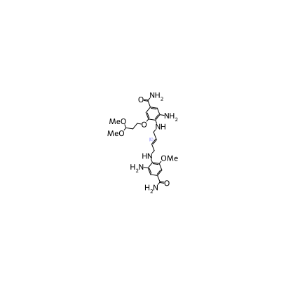 COc1cc(C(N)=O)cc(N)c1NC/C=C/CNc1c(N)cc(C(N)=O)cc1OCCC(OC)OC